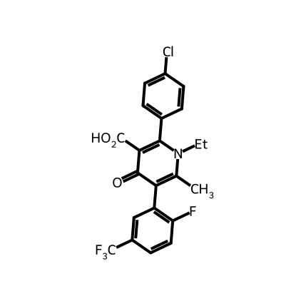 CCn1c(C)c(-c2cc(C(F)(F)F)ccc2F)c(=O)c(C(=O)O)c1-c1ccc(Cl)cc1